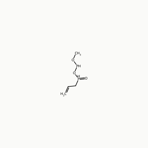 C=CC[PH](=O)OPOC